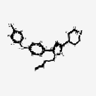 CCCCn1nc(C2CCNCC2)cc1-c1ccc(Oc2ccc(Cl)cc2)cc1